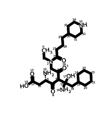 CCN(CC(=O)C(C(=O)[C@@H](N)CC(=O)O)C(N)(O)CC1CCCCC1)C(=O)CCCC1CCNCC1